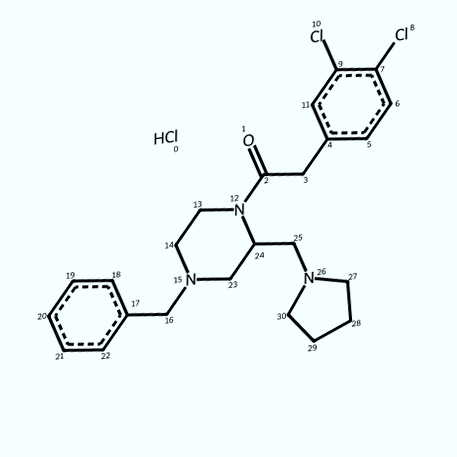 Cl.O=C(Cc1ccc(Cl)c(Cl)c1)N1CCN(Cc2ccccc2)CC1CN1CCCC1